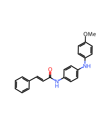 COc1ccc(Nc2ccc(NC(=O)C=Cc3ccccc3)cc2)cc1